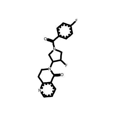 O=C(c1ccc(F)cc1)N1CC(F)C(N2CCc3ncccc3C2=O)C1